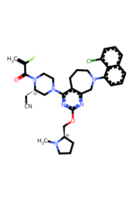 C=C(F)C(=O)N1CCN(c2nc(OC[C@H]3CCCN3C)nc3c2CCCN(c2cccc4cccc(Cl)c24)C3)C[C@@H]1CC#N